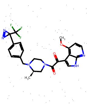 COc1ccnc2[nH]cc(C(=O)C(=O)N3CCN(Cc4ccc(C5(C(F)(F)F)N=N5)cc4)[C@H](C)C3)c12